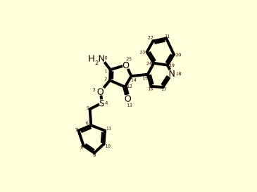 NC1=C(OSCc2ccccc2)C(=O)C(c2ccnc3ccccc23)O1